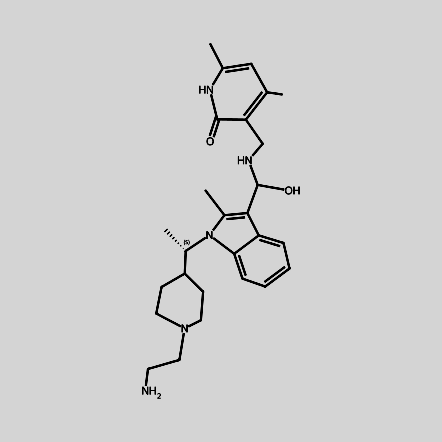 Cc1cc(C)c(CNC(O)c2c(C)n([C@@H](C)C3CCN(CCN)CC3)c3ccccc23)c(=O)[nH]1